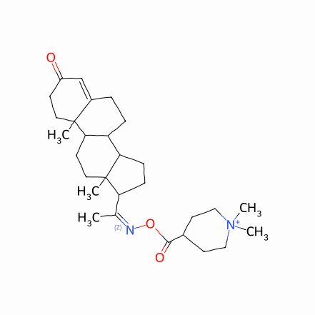 C/C(=N/OC(=O)C1CC[N+](C)(C)CC1)C1CCC2C3CCC4=CC(=O)CCC4(C)C3CCC12C